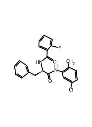 Cc1ccc(Cl)cc1NC(=O)[C@@H](Cc1ccccc1)NC(=O)c1ccccc1F